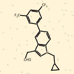 O=CCc1cn(CC2CC2)c2ccc(-c3cc(C(F)(F)F)cc(C(F)(F)F)c3)cc12